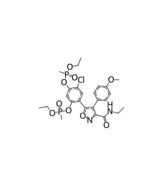 CCNC(=O)c1noc(-c2cc(Cl)c(OP(C)(=O)OCC)cc2OP(C)(=O)OCC)c1-c1ccc(OC)cc1